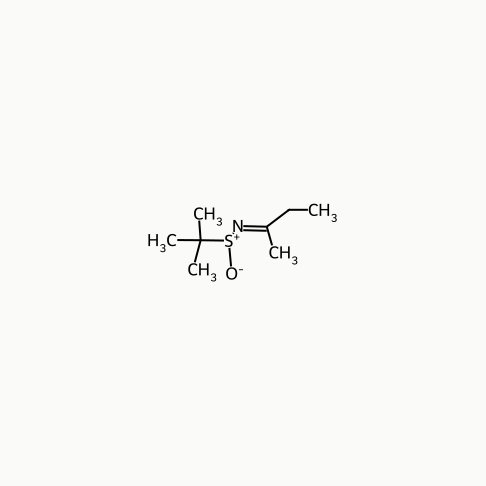 CC/C(C)=N/[S+]([O-])C(C)(C)C